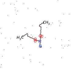 CCCCC/C=C\C/C=C\CCCCCCCCOC(=O)CCCCN(CCCCC(=O)OCCCCCCCC/C=C\C/C=C\CCCCC)CCCCN1CCCC1